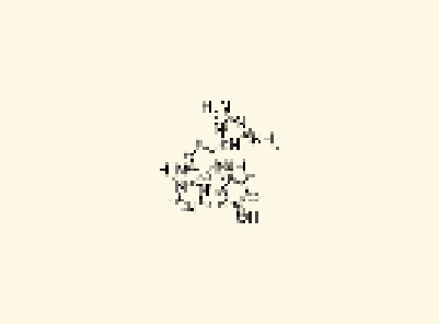 Nc1nc(N)nc(C2CCC(N)(c3ncncn3)CC2Nc2ccc(O)cc2)n1